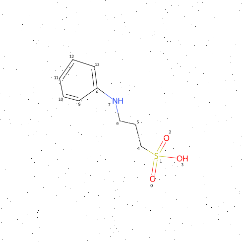 O=S(=O)(O)CCCNc1[c]cccc1